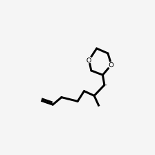 C=CCCCC(C)[CH]C1COCCO1